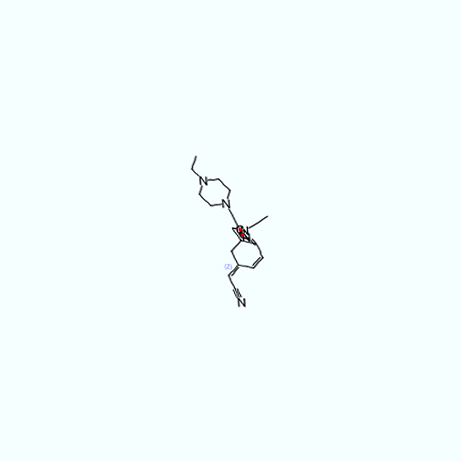 CCN1CCN(C2=C3CN(C)CC34C/C(=C/C#N)C=CC4=NC=C2)CC1